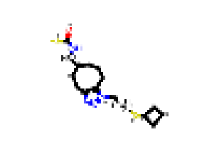 O=C(S)NBC1CCCc2c(nnn2CBBSC2CCC2)CC1